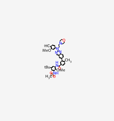 [CH]c1ccc(N(CCN2CCOCC2)c2ncc3cc(-c4cc(C(=O)Nc5cc(C(C)(C)C)cc(NS(C)(=O)=O)c5OC)ccc4C)ccc3n2)cc1OC